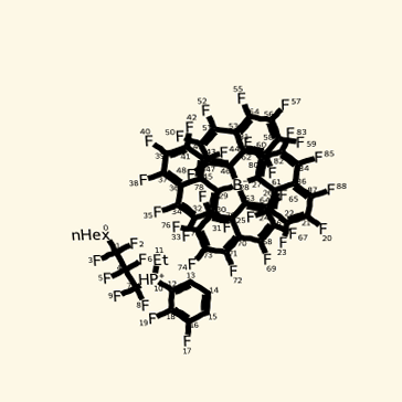 CCCCCCC(F)(F)C(F)(F)C(F)(F)[PH+](CC)c1cccc(F)c1F.Fc1c(F)c(F)c2c([B-](c3c(F)c(F)c(F)c4c(F)c(F)c(F)c(F)c34)(c3c(F)c(F)c(F)c4c(F)c(F)c(F)c(F)c34)c3c(F)c(F)c(F)c4c(F)c(F)c(F)c(F)c34)c(F)c(F)c(F)c2c1F